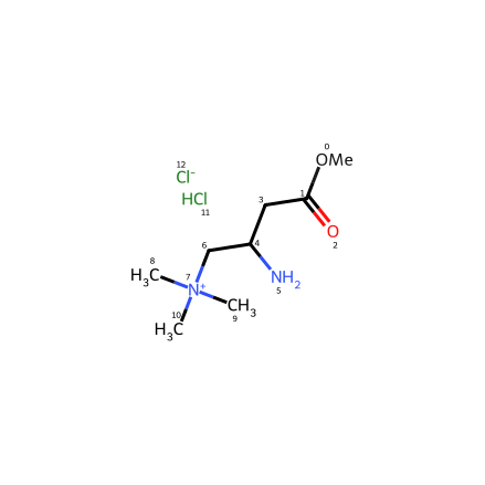 COC(=O)CC(N)C[N+](C)(C)C.Cl.[Cl-]